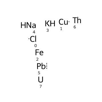 [Cl].[Cu].[Fe].[KH].[NaH].[Pb].[Th].[U]